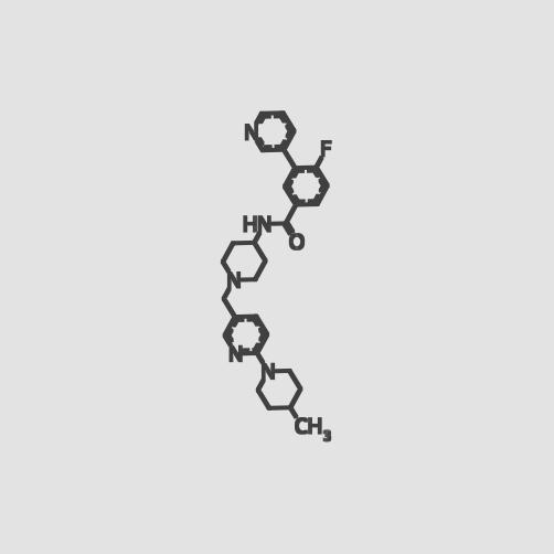 CC1CCN(c2ccc(CN3CCC(NC(=O)c4ccc(F)c(-c5cccnc5)c4)CC3)cn2)CC1